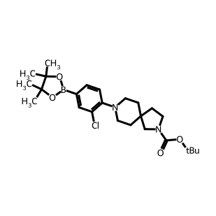 CC(C)(C)OC(=O)N1CCC2(CCN(c3ccc(B4OC(C)(C)C(C)(C)O4)cc3Cl)CC2)C1